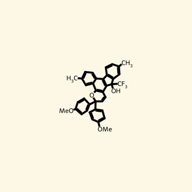 COc1ccc(C2(c3ccc(OC)cc3)C=Cc3c4c(c5ccc(C)cc5c3O2)-c2ccc(C)cc2C4(O)C(F)(F)F)cc1